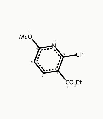 CCOC(=O)c1ccc(OC)nc1Cl